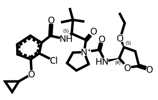 CCO[C@H]1CC(=O)O[C@H]1NC(=O)[N+]1(C(=O)[C@@H](NC(=O)c2cccc(OC3CC3)c2Cl)C(C)(C)C)CCCC1